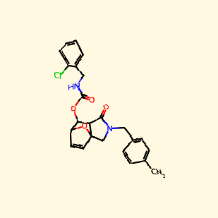 Cc1ccc(CN2CC34C=CC(O3)C(OC(=O)NCc3ccccc3Cl)C4C2=O)cc1